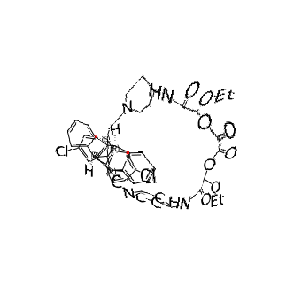 CCOC1OC(=O)C(=O)OC(OCC)C(=O)NC2CCN(CC2)C[C@@]23c4ccccc4[C@H](c4ccc(Cl)cc42)C32[C@@H]3c4ccccc4[C@@]2(CN2CCC(CC2)NC1=O)c1cc(Cl)ccc13